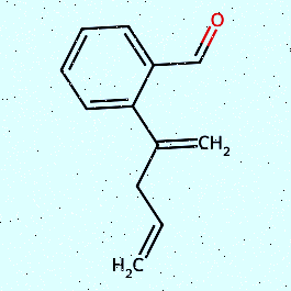 C=CCC(=C)c1ccccc1C=O